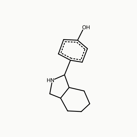 Oc1ccc(C2NCC3CCCCC32)cc1